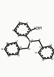 Oc1ccc[c]c1N(Cc1ccccc1)Cc1ccccc1